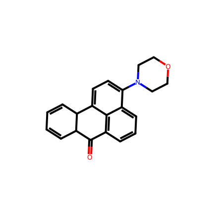 O=C1c2cccc3c(N4CCOCC4)ccc(c23)C2C=CC=CC12